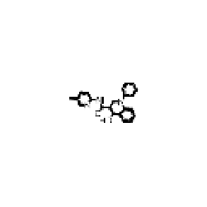 Cc1ccc(NC(=O)C2=C(O)c3ccccc3N(c3ccccc3)C2)nc1